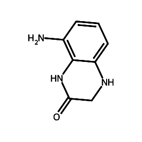 Nc1cccc2c1NC(=O)CN2